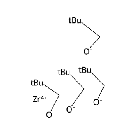 CC(C)(C)C[O-].CC(C)(C)C[O-].CC(C)(C)C[O-].CC(C)(C)C[O-].[Zr+4]